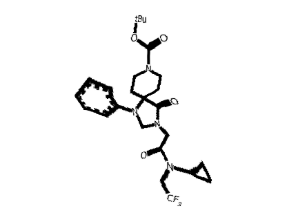 CC(C)(C)OC(=O)N1CCC2(CC1)C(=O)N(CC(=O)N(CC(F)(F)F)C1CC1)CN2c1ccccc1